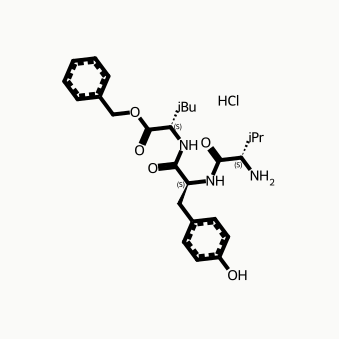 CCC(C)[C@H](NC(=O)[C@H](Cc1ccc(O)cc1)NC(=O)[C@@H](N)C(C)C)C(=O)OCc1ccccc1.Cl